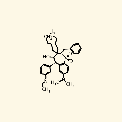 CCCCC1(CCCC)[C@H](O)[C@H](c2cccc(NCC)c2)c2cc(N(C)C)ccc2S(=O)(=O)N1Cc1ccccc1